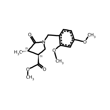 COC(=O)[C@@H]1CN(Cc2ccc(OC)cc2OC)C(=O)[C@H]1C